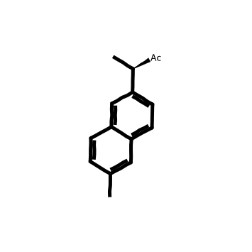 CC(=O)[C@H](C)c1ccc2cc(C)ccc2c1